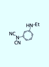 CCNc1cccc(N(C#N)C#N)c1